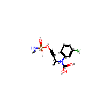 CNS(=O)(=O)OC#CC(C)N(C(=O)O)c1cccc(Br)c1